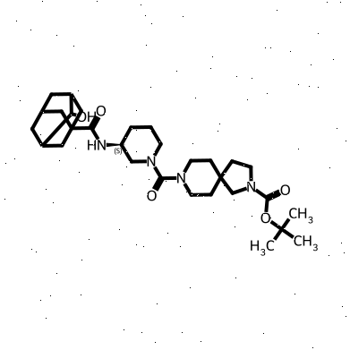 CC(C)(C)OC(=O)N1CCC2(CCN(C(=O)N3CCC[C@H](NC(=O)C45CC6CC(C4)C(O)C(C6)C5)C3)CC2)C1